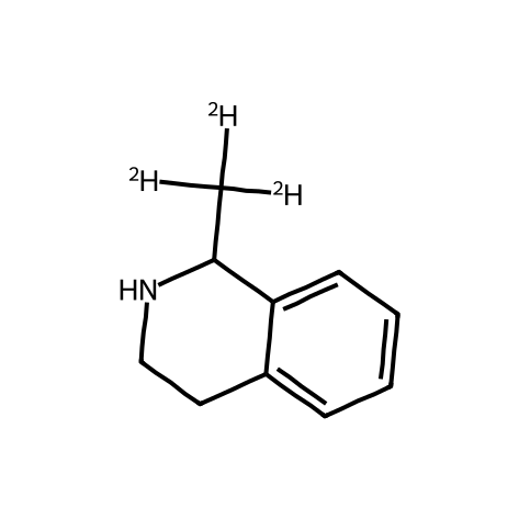 [2H]C([2H])([2H])C1NCCc2ccccc21